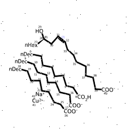 CCCCCCCCCCCCCCCCCC(=O)O.CCCCCCCCCCCCCCCCCC(=O)[O-].CCCCCCCCCCCCCCCCCC(=O)[O-].CCCCCC[C@@H](O)C/C=C\CCCCCCCC(=O)[O-].[Cu+2].[Na+]